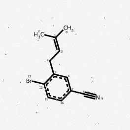 CC(C)=CCc1cc(C#N)ccc1Br